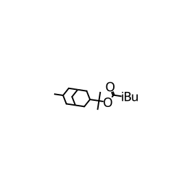 CCC(C)C(=O)OC(C)(C)C1CC2CC(C)CC(C2)C1